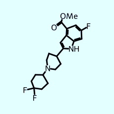 COC(=O)c1cc(F)cc2[nH]c(C3CCN(C4CCC(F)(F)CC4)CC3)cc12